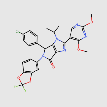 COc1ncc(-c2nc3c(n2C(C)C)C(c2ccc(Cl)cc2)N(c2ccc4c(c2)OC(F)(F)O4)C3=O)c(OC)n1